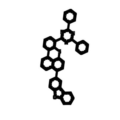 c1ccc(-c2nc(-c3ccccc3)nc(-c3cccc4c3Sc3ccc(-c5ccc6oc7ccccc7c6c5)c5cccc-4c35)n2)cc1